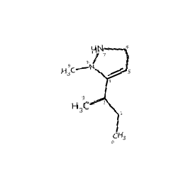 CCC(C)C1=CCNN1C